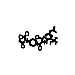 CC(C)Cc1cc(C(F)(F)F)c2nc(C(=O)N3CCC(N4C(=O)COC4=O)CC3)c(Cl)n2c1